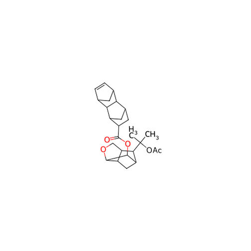 CC(=O)OC(C)(C)C1C2COC3C2CC1C3OC(=O)C1CC2CC1C1C3C=CC(C3)C21